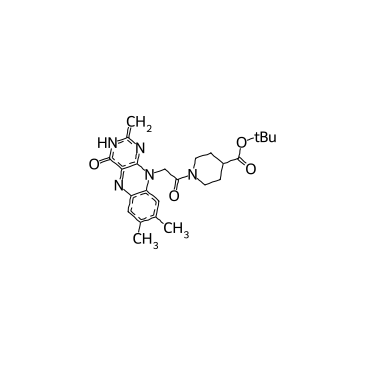 C=c1nc2c(c(=O)[nH]1)=Nc1cc(C)c(C)cc1N2CC(=O)N1CCC(C(=O)OC(C)(C)C)CC1